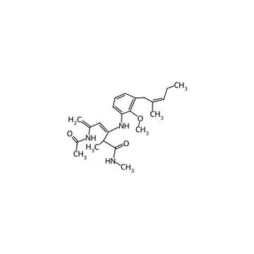 C=C(/C=C(/Nc1cccc(C/C(C)=C\CC)c1OC)C(C)C(=O)NC)NC(C)=O